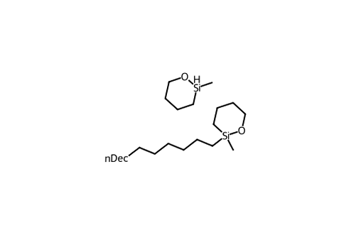 CCCCCCCCCCCCCCCC[Si]1(C)CCCCO1.C[SiH]1CCCCO1